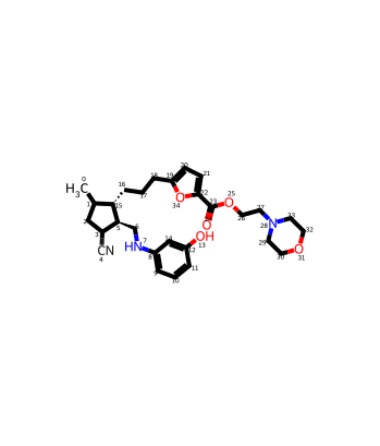 CC1CC(C#N)[C@H](CNc2cccc(O)c2)[C@H]1CCCc1ccc(C(=O)OCCN2CCOCC2)o1